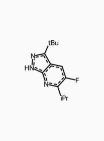 CC(C)c1nc2[nH]nc(C(C)(C)C)c2cc1F